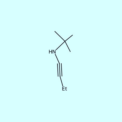 CCC#CNC(C)(C)C